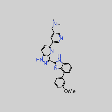 COc1cccc(-c2cccc3[nH]c(-c4n[nH]c5ccc(-c6cncc(CN(C)C)c6)nc45)nc23)c1